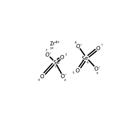 O=[Se](=O)([O-])[O-].O=[Se](=O)([O-])[O-].[Zr+4]